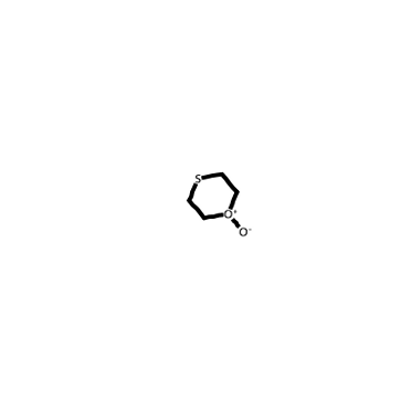 [O-][O+]1CCSCC1